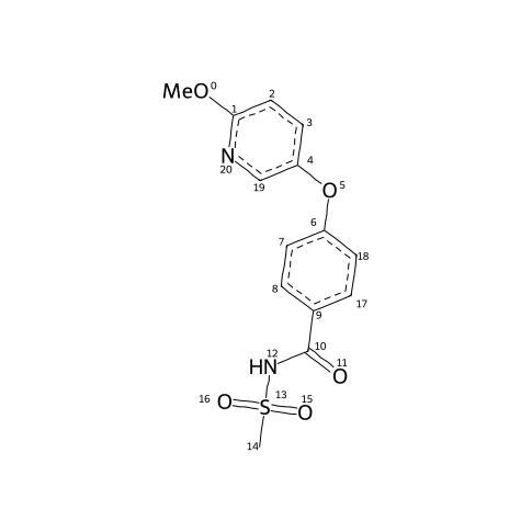 COc1ccc(Oc2ccc(C(=O)NS(C)(=O)=O)cc2)cn1